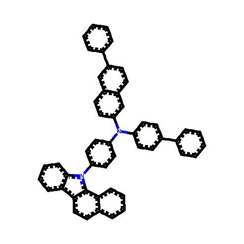 c1ccc(-c2ccc(N(c3ccc(-n4c5ccccc5c5ccc6ccccc6c54)cc3)c3ccc4cc(-c5ccccc5)ccc4c3)cc2)cc1